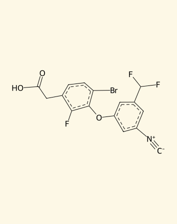 [C-]#[N+]c1cc(Oc2c(Br)ccc(CC(=O)O)c2F)cc(C(F)F)c1